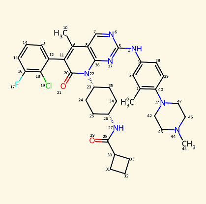 Cc1cc(Nc2ncc3c(C)c(-c4cccc(F)c4Cl)c(=O)n([C@H]4CC[C@@H](NC(=O)C5CCC5)CC4)c3n2)ccc1N1CCN(C)CC1